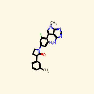 Cc1cccc(C2CCN(c3ccc(-c4cn(C)c5ncnc(N)c45)c(F)c3)C2=O)c1